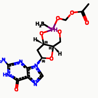 B[PH]1(OCOC(C)=O)OC[C@H]2O[C@@H](n3cnc4c(=O)[nH]c(N)nc43)C[C@H]2O1